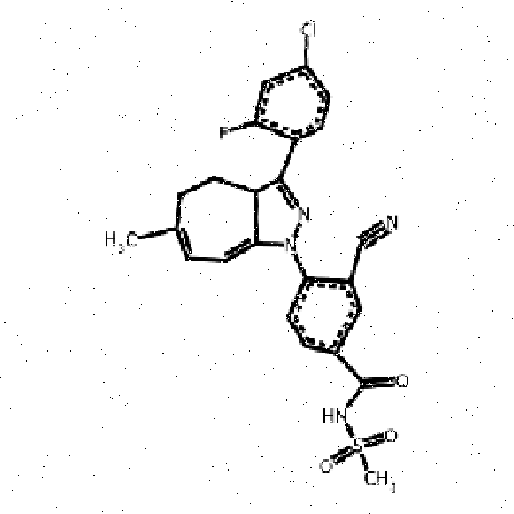 CC1=CC=C2C(CC1)C(c1ccc(Cl)cc1F)=NN2c1ccc(C(=O)NS(C)(=O)=O)cc1C#N